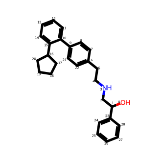 OC(CNCCc1ccc(-c2ccccc2C2CCCC2)cc1)c1ccccc1